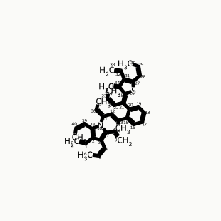 C=Cc1c(/C=C\C)c(C=C)n(C(/C=C(\C)c2ccccc2C(/C=C\C)=c2\sc(/C=C\C)c(C=C)c2=C)=C/C)c1/C=C\C